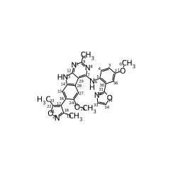 COc1ccc(Nc2nc(C)nc3[nH]c4cc(-c5c(C)noc5C)c(OC)cc4c23)c(-c2ncco2)c1